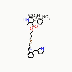 CC1=C(C(=O)O)C(c2cccc([N+](=O)[O-])c2)C(C(=O)OCCCCSC/C=C/c2ccccc2Cc2cccnc2)=C(C)N1